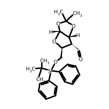 CC1(C)O[C@H]2O[C@H](CO[Si](c3ccccc3)(c3ccccc3)C(C)(C)C)[C@@H](C=O)[C@H]2O1